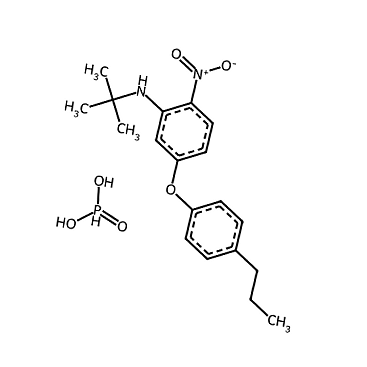 CCCc1ccc(Oc2ccc([N+](=O)[O-])c(NC(C)(C)C)c2)cc1.O=[PH](O)O